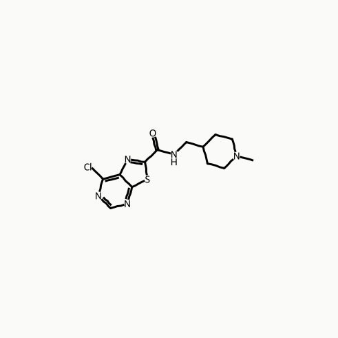 CN1CCC(CNC(=O)c2nc3c(Cl)ncnc3s2)CC1